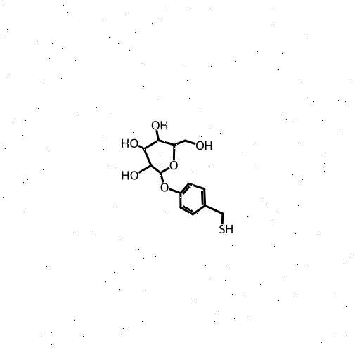 OCC1OC(Oc2ccc(CS)cc2)C(O)C(O)C1O